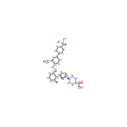 Cc1cc(-c2ccc(C(F)(F)F)cc2)ccc1COc1cccc(F)c1-c1csc(N2CCC(C(=O)O)CC2)n1